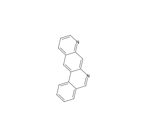 c1cnc2cc3ncc4ccccc4c3cc2c1